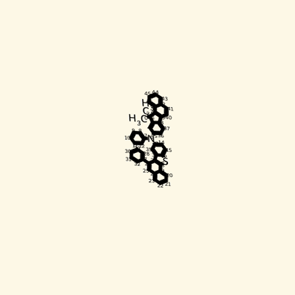 CC1(C)c2cc(N(c3ccccc3)c3ccc4sc5c6ccccc6cc(-c6ccccc6)c5c4c3)ccc2-c2ccc3ccccc3c21